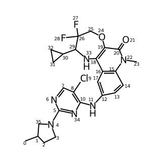 CC1CCN(c2ncc(Cl)c(Nc3ccc4c(c3)c3c(c(=O)n4C)OCC(F)(F)C(C4CC4)N3)n2)C1